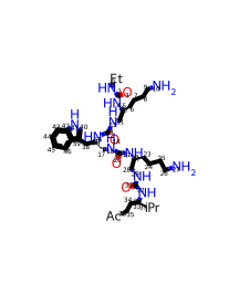 CCNC(=O)N[C@@H](CCCCN)CNC(=O)N[C@H](CNC(=O)N[C@@H](CCCCN)CNC(=O)N[C@H](CCC(C)=O)C(C)C)Cc1c[nH]c2ccccc12